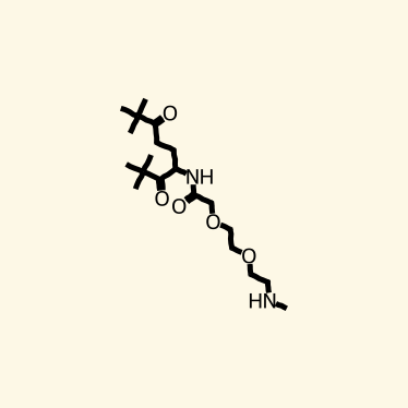 CNCCOCCOCC(=O)NC(CCC(=O)C(C)(C)C)C(=O)C(C)(C)C